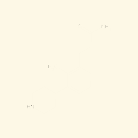 Cc1c(CCC(N)=O)cccc1C1CCNCC1